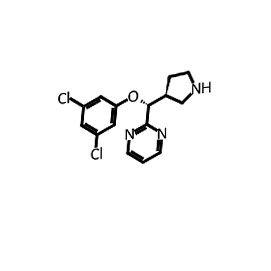 Clc1cc(Cl)cc(O[C@@H](c2ncccn2)[C@H]2CCNC2)c1